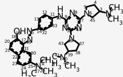 CN(C)C1CCN(c2nc(Nc3ccc(/N=N/c4c(O)ccc5ccc([N+](C)(C)C)cc45)cc3)nc(N3CCC(N(C)C)C3)n2)C1